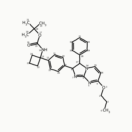 CCCOC1=NC2=NC(c3ccc(C4(NC(=O)OC(C)(C)C)CCC4)cc3)C(c3ccccc3)N2C=C1